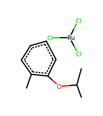 Cc1ccccc1OC(C)C.[Cl][Ru]([Cl])[Cl]